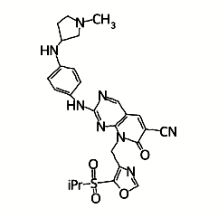 CC(C)S(=O)(=O)c1ocnc1Cn1c(=O)c(C#N)cc2cnc(Nc3ccc(NC4CCN(C)C4)cc3)nc21